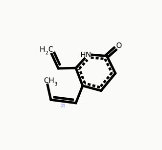 C=Cc1[nH]c(=O)ccc1/C=C\C